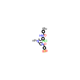 CCCN(CC1CCN(C(=O)c2ccc(S(C)(=O)=O)cc2)CC1)C(C)Cc1cccc(NC(=O)c2ccc(C(C)(C)C)cc2)c1.Cl